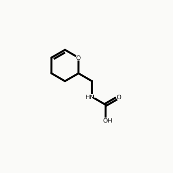 O=C(O)NCC1CCC=CO1